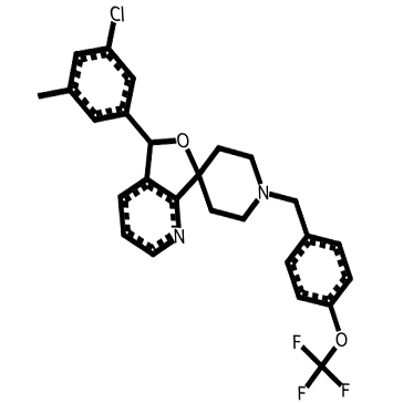 Cc1cc(Cl)cc(C2OC3(CCN(Cc4ccc(OC(F)(F)F)cc4)CC3)c3ncccc32)c1